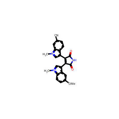 COc1ccc2c(c1)c(C1=C(c3cn(C)c4cc(C#N)ccc34)C(=O)NC1=O)cn2C